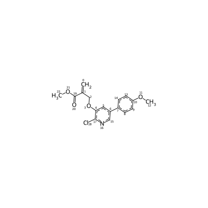 C=C(COc1cc(-c2ccc(OC)cc2)cnc1Cl)C(=O)OC